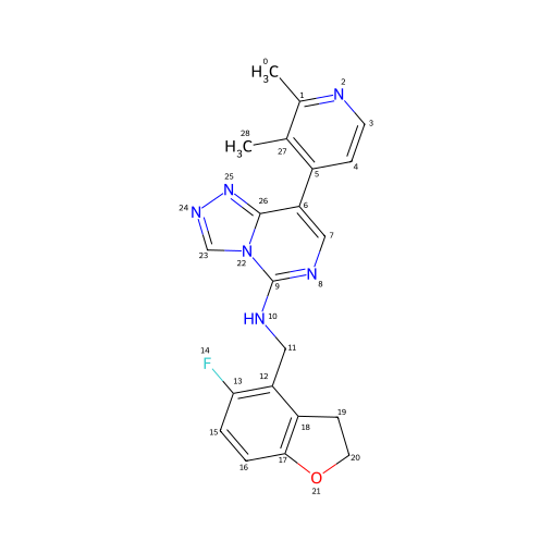 Cc1nccc(-c2cnc(NCc3c(F)ccc4c3CCO4)n3cnnc23)c1C